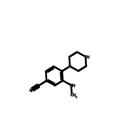 CNc1cc(C#N)ccc1N1CCNCC1